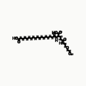 COCCOCCNC(=O)CCC(NC(=O)CCCCCCCCCCCCCCCCC(=O)O)C(=O)O